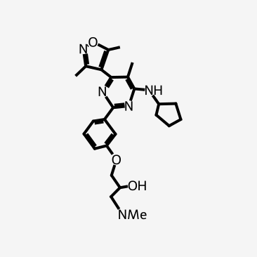 CNCC(O)COc1cccc(-c2nc(NC3CCCC3)c(C)c(-c3c(C)noc3C)n2)c1